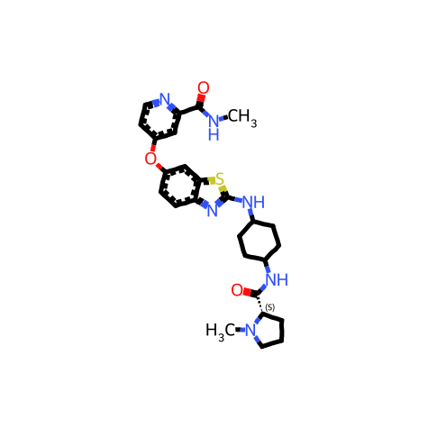 CNC(=O)c1cc(Oc2ccc3nc(NC4CCC(NC(=O)[C@@H]5CCCN5C)CC4)sc3c2)ccn1